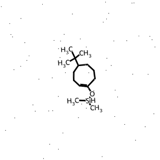 C[SiH](C)OC1=CCCC(C(C)(C)C)CCC1